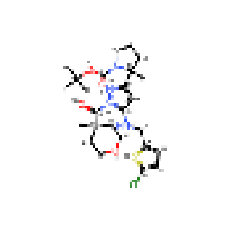 CC(C)(C)OC(=O)N1CCCC1(C)c1cc(NCc2ccc(Cl)s2)n(C(=O)C2(C)CCOCC2)n1